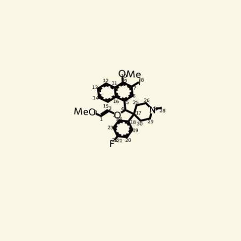 COC=COC(c1cc(I)c(OC)c2ccccc12)C1(c2ccc(F)cc2)CCN(C)CC1